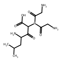 CC(C)CC(N)C(=O)C(C(=O)O)N(C(=O)CN)C(=O)CN